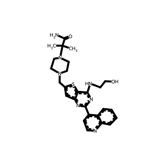 CC(C)(C(N)=O)N1CCN(Cc2cc3nc(-c4ccnc5ccccc45)nc(NCCO)c3s2)CC1